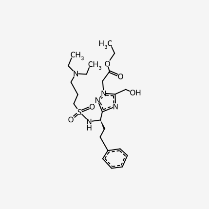 CCOC(=O)Cn1nc([C@@H](CCc2ccccc2)NS(=O)(=O)CCCN(CC)CC)nc1CO